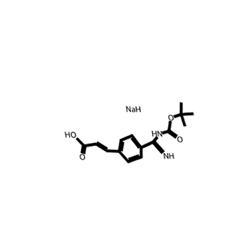 CC(C)(C)OC(=O)NC(=N)c1ccc(/C=C/C(=O)O)cc1.[NaH]